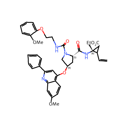 C=CC1C[C@]1(NC(=O)[C@@H]1C[C@@H](Oc2cc(-c3ccccc3)nc3cc(OC)ccc23)CN1C(=O)NCCOc1ccccc1OC)C(=O)OCC